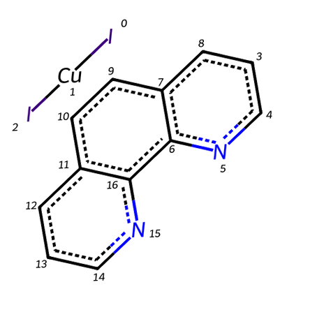 [I][Cu][I].c1cnc2c(c1)ccc1cccnc12